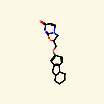 O=c1ccn2c(n1)OC(COc1ccc3c(c1)CC1CCCCC31)C2